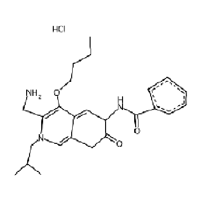 CCCCOC1=C(CN)N(CC(C)C)C=C2CC(=O)C(NC(=O)c3ccccc3)C=C21.Cl